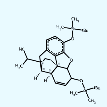 CC(C#N)N1CC[C@]23c4c5ccc(O[Si](C)(C)C(C)(C)C)c4OC2C(O[Si](C)(C)C(C)(C)C)C=C[C@H]3[C@H]1C5